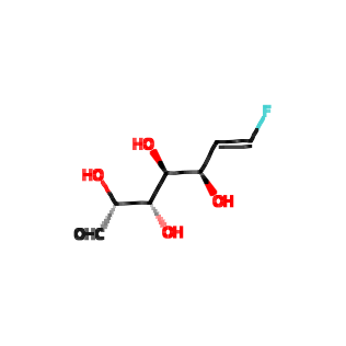 O=C[C@H](O)[C@@H](O)[C@@H](O)[C@H](O)C=CF